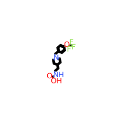 O=C(O)NCCC1CCN(Cc2ccc(OC(F)(F)F)cc2)CC1